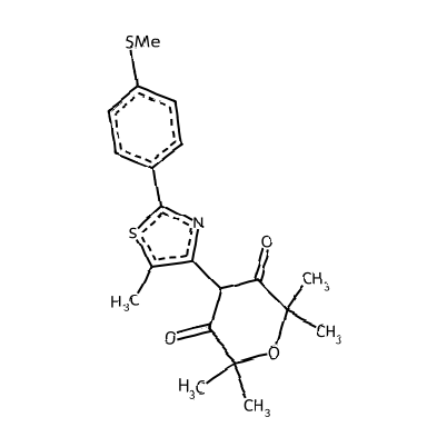 CSc1ccc(-c2nc(C3C(=O)C(C)(C)OC(C)(C)C3=O)c(C)s2)cc1